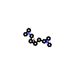 c1ccc(-n2c3ccccc3c3cc(-c4cccc(-c5cccc6c5sc5c(-c7cccc(-n8c9ccccc9c9ccccc98)c7)cccc56)c4)ccc32)cc1